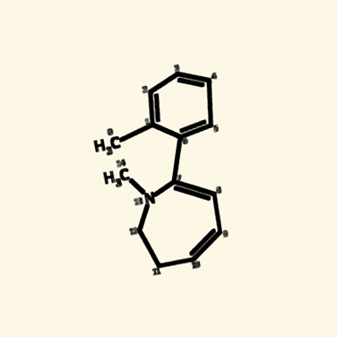 Cc1ccccc1C1=CC=CCCN1C